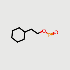 O=POCCC1CCCCC1